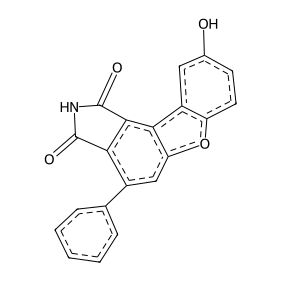 O=C1NC(=O)c2c1c(-c1ccccc1)cc1oc3ccc(O)cc3c21